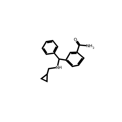 NC(=O)c1cccc(C(NCC2CC2)c2ccccc2)c1